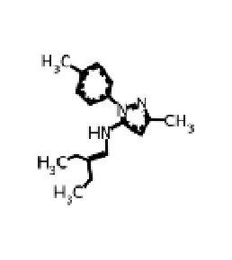 CCC(=CNc1cc(C)nn1-c1ccc(C)cc1)CC